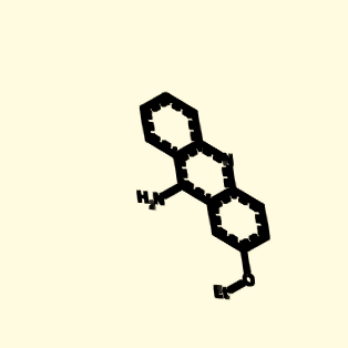 CCOc1ccc2nc3ccccc3c(N)c2c1